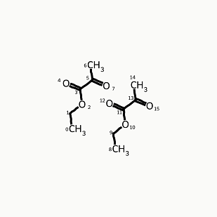 CCOC(=O)C(C)=O.CCOC(=O)C(C)=O